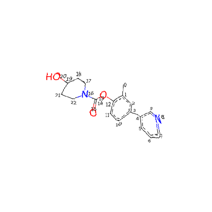 Cc1cc(-c2cccnc2)ccc1OC(=O)N1CCC(O)CC1